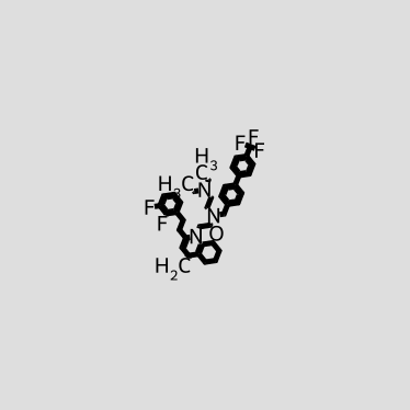 C=C1C=C(CCc2cccc(F)c2F)N(CC(=O)N(CCN(CC)CC)Cc2ccc(-c3ccc(C(F)(F)F)cc3)cc2)C2=C1CCCC2